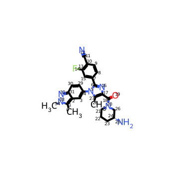 Cc1c2cc(-n3c(-c4ccc(C#N)c(F)c4)nc(C(=O)N4CCC[C@@H](N)C4)c3C)ccc2nn1C